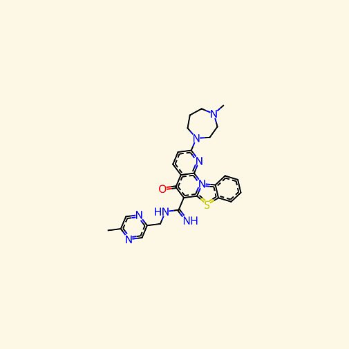 Cc1cnc(CNC(=N)c2c(=O)c3ccc(N4CCCN(C)CC4)nc3n3c2sc2ccccc23)cn1